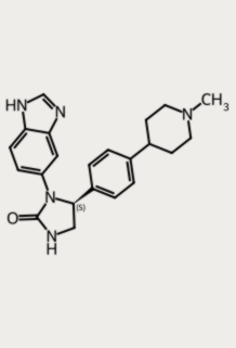 CN1CCC(c2ccc([C@H]3CNC(=O)N3c3ccc4[nH]cnc4c3)cc2)CC1